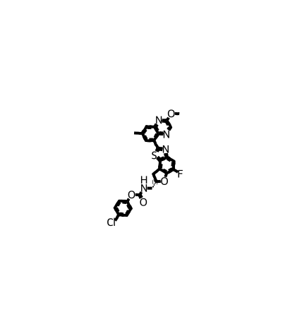 COc1cnc2c(-c3nc4cc(F)c5c(c4s3)C[C@@H](CNC(=O)Oc3ccc(Cl)cc3)O5)cc(C)cc2n1